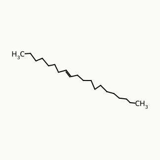 CCCCCCC/C=C/CCCCCCCCCCC